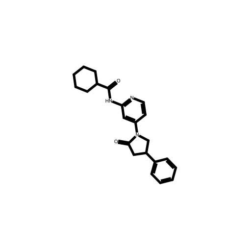 O=C(Nc1cc(N2CC(c3ccccc3)CC2=O)ccn1)C1CCCCC1